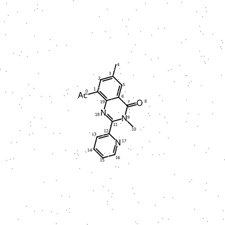 CC(=O)c1cc(C)cc2c(=O)n(C)c(-c3ccccn3)nc12